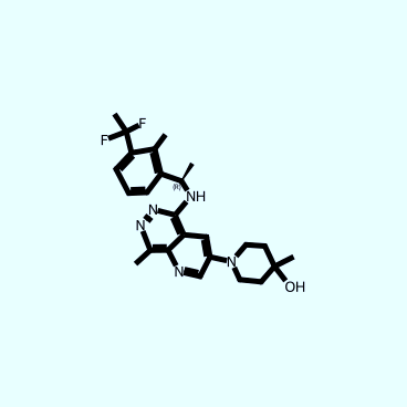 Cc1c([C@@H](C)Nc2nnc(C)c3ncc(N4CCC(C)(O)CC4)cc23)cccc1C(C)(F)F